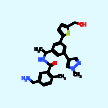 Cc1ccc(CN)cc1C(=O)NC(C)c1cc(-c2cnn(C)c2)cc(-c2ccc(CO)s2)c1